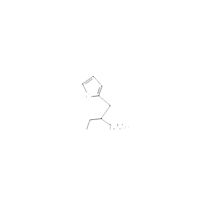 CNC(CI)Cc1ccco1